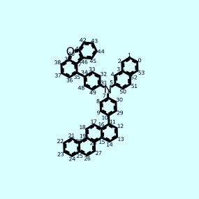 c1ccc2cc(N(c3ccc(-c4cccc5c4ccc4c6ccccc6ccc54)cc3)c3ccc(-c4cccc5oc6ccccc6c45)cc3)ccc2c1